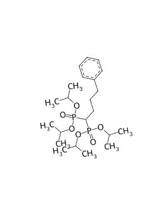 CC(C)OP(=O)(OC(C)C)C(CCCc1ccccc1)P(=O)(OC(C)C)OC(C)C